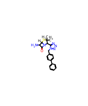 CC1(C)S[C@@H]2C(N)C(=O)N2C1c1nnnn1Cc1ccc(-c2ccccc2)cc1